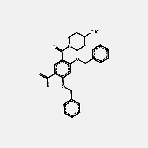 C=C(C)c1cc(C(=O)N2CCC(C=O)CC2)c(OCc2ccccc2)cc1OCc1ccccc1